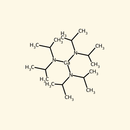 CC(C)[N](C(C)C)[Ga]([N](C(C)C)C(C)C)[N](C(C)C)C(C)C